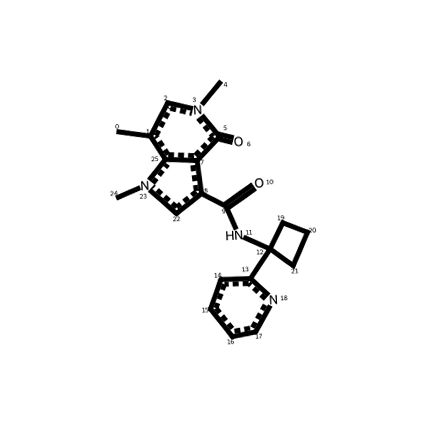 Cc1cn(C)c(=O)c2c(C(=O)NC3(c4ccccn4)CCC3)cn(C)c12